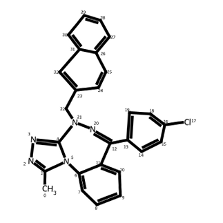 Cc1nnc2n1-c1ccccc1C(c1ccc(Cl)cc1)=NN2Cc1ccc2ccccc2c1